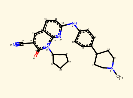 CN1CCC(c2ccc(Nc3ccc4cc(C#N)c(=O)n(C5CCCC5)c4n3)cc2)CC1